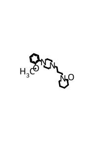 COc1ccccc1N1CCN(CCCN2CCCCC2=O)CC1